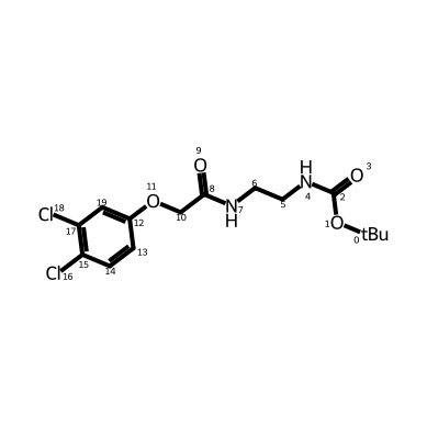 CC(C)(C)OC(=O)NCCNC(=O)COc1ccc(Cl)c(Cl)c1